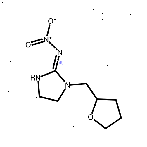 O=[N+]([O-])/N=C1\NCCN1CC1CCCO1